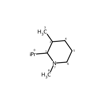 CC(C)C1C(C)CCCN1C